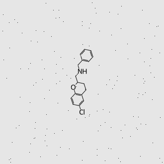 Clc1ccc2c(c1)CCC(CNCc1ccccc1)O2